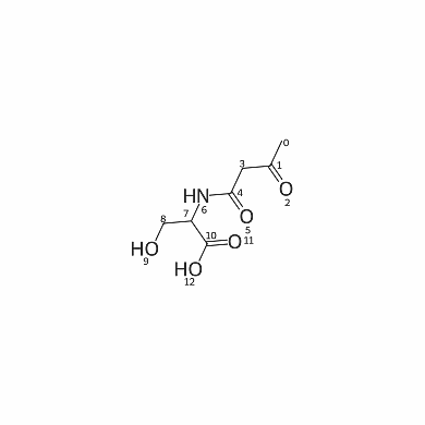 CC(=O)CC(=O)NC(CO)C(=O)O